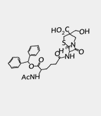 CC(=O)NC(CCCC(=O)NC1C(=O)N2CC(CO)(C(=O)O)CS[C@H]12)C(=O)OC(c1ccccc1)c1ccccc1